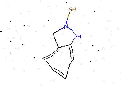 SN1Cc2ccccc2N1